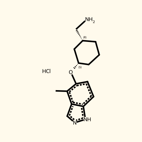 Cc1c(O[C@H]2CCC[C@@H](CN)C2)ccc2[nH]ncc12.Cl